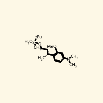 COc1cc(N(C)C)ccc1[C@H](C)CCO[Si](C)(C)C(C)(C)C